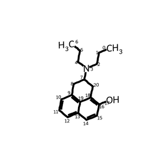 CCCN(CCC)C1Cc2cccc3ccc(O)c(c23)C1